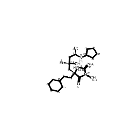 CC[C@H](C[C@@](C)(CC)C[C@@]1(CCC2CCCCC2)NC(=N)N(C)C1=O)NC1CCCC1